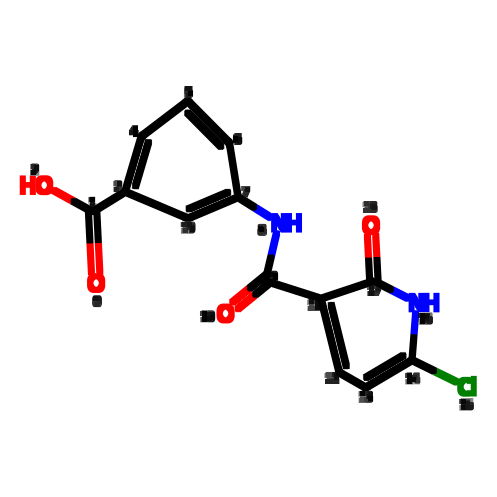 O=C(O)c1cccc(NC(=O)c2ccc(Cl)[nH]c2=O)c1